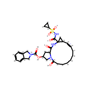 O=C1NC2(C(=O)NS(=O)(=O)C3CC3)CC2/C=C\CCCCCCC(=O)N2CC(OC(=O)N3Cc4ccccc4C3)CC12